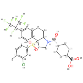 Cc1ccc(S(=O)(=O)C23CCN(C(=O)[C@H]4CC[C@H](C(=O)O)CC4)C2CCc2cc(C(F)(C(F)(F)F)C(F)(F)F)ccc23)cc1Cl